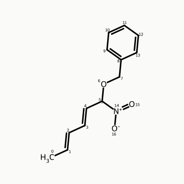 CC=CC=C[C](OCc1ccccc1)[N+](=O)[O-]